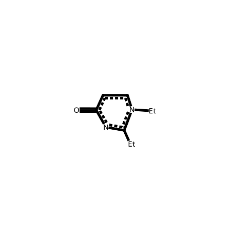 CCc1nc(=O)ccn1CC